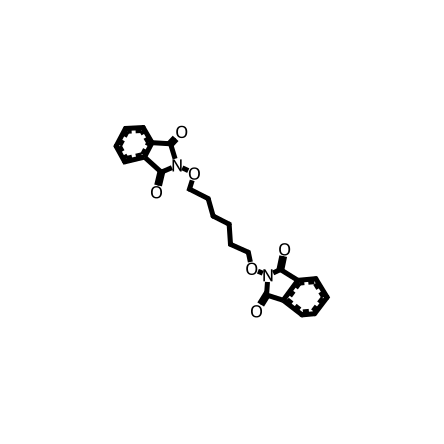 O=C1c2ccccc2C(=O)N1OCCCCCCON1C(=O)c2ccccc2C1=O